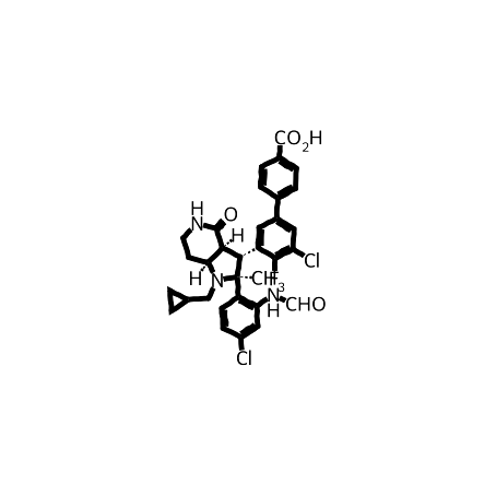 C[C@@]1(c2ccc(Cl)cc2NC=O)[C@@H](c2cc(-c3ccc(C(=O)O)cc3)cc(Cl)c2F)[C@@H]2C(=O)NCC[C@@H]2N1CC1CC1